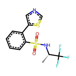 C[C@H](NS(=O)(=O)c1ccccc1-c1cncs1)C(F)(F)F